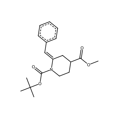 COC(=O)C1CCN(C(=O)OC(C)(C)C)C(=Cc2ccccc2)C1